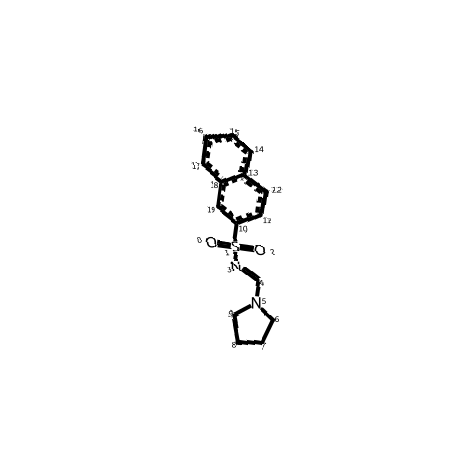 O=S(=O)(N=CN1CCCC1)c1ccc2ccccc2c1